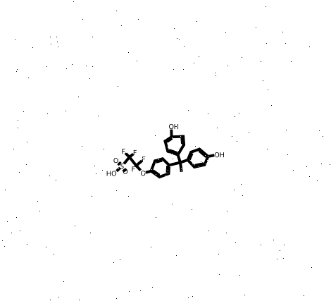 CC(c1ccc(O)cc1)(c1ccc(O)cc1)c1ccc(OC(F)(F)C(F)(F)S(=O)(=O)O)cc1